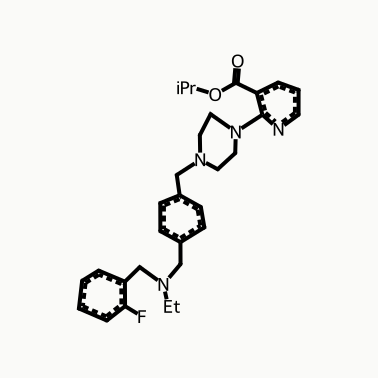 CCN(Cc1ccc(CN2CCN(c3ncccc3C(=O)OC(C)C)CC2)cc1)Cc1ccccc1F